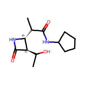 CC(C(=O)NC1CCCC1)[C@H]1NC(=O)[C@@H]1C(C)O